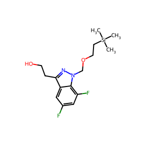 C[Si](C)(C)CCOCn1nc(CCO)c2cc(F)cc(F)c21